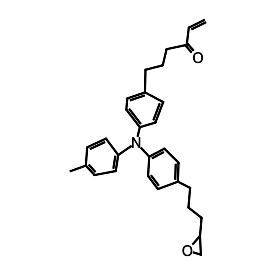 C=CC(=O)CCCc1ccc(N(c2ccc(C)cc2)c2ccc(CCCC3CO3)cc2)cc1